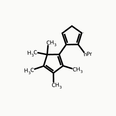 CCCC1=[C]CC=C1C1=C(C)C(C)=C(C)C1(C)C